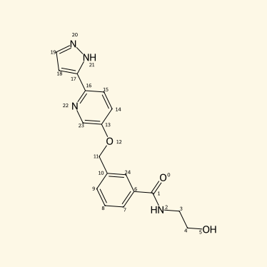 O=C(NCCO)c1cccc(COc2ccc(-c3ccn[nH]3)nc2)c1